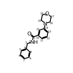 O=C(NCc1ccccc1)c1cccc(N2CCOCC2)c1